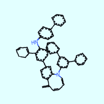 C=C1/C=C\C=C/N(c2cc(-c3ccccc3)cc(-c3ccccc3)c2)c2cc(-c3ccc(Nc4ccc(-c5ccccc5)cc4)c(C4=CC=CCC4)c3)ccc21